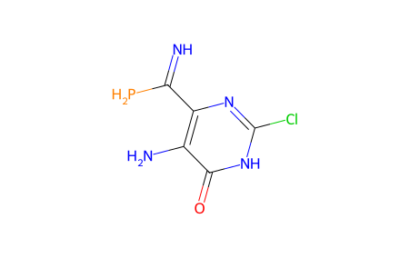 N=C(P)c1nc(Cl)[nH]c(=O)c1N